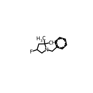 CC1(C)CC(F)CN1Cc1ccccc1